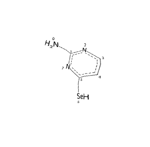 Nc1nccc([SeH])n1